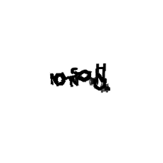 C[C@H]1CC[C@H](c2ccc3sc(-c4ccncc4)nc3c2)NC1